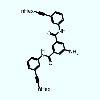 CCCCCCC#Cc1cccc(NC(=O)c2cc(N)cc(C(=O)Nc3cccc(C#CCCCCCC)c3)c2)c1